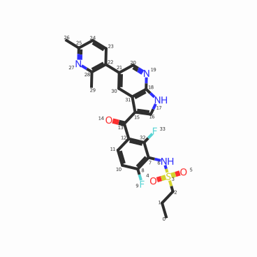 CCCS(=O)(=O)Nc1c(F)ccc(C(=O)c2c[nH]c3ncc(-c4ccc(C)nc4C)cc23)c1F